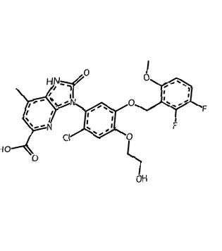 COc1ccc(F)c(F)c1COc1cc(-n2c(=O)[nH]c3c(C)cc(C(=O)O)nc32)c(Cl)cc1OCCO